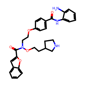 Nc1ccccc1NC(=O)c1ccc(OCCN(OCCC2CCNC2)C(=O)c2cc3ccccc3o2)cc1